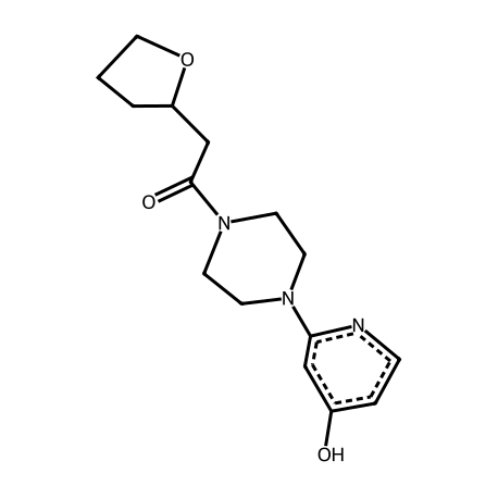 O=C(CC1CCCO1)N1CCN(c2cc(O)ccn2)CC1